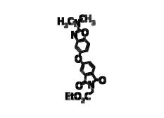 CCOC(=O)CN1C(=O)c2ccc(Oc3ccc4oc(N(C)C)nc4c3)cc2C1=O